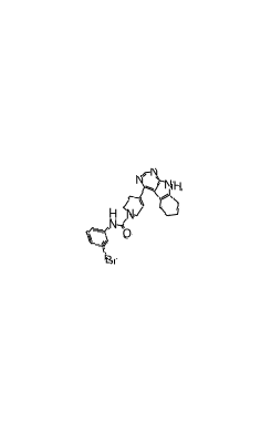 O=C(Nc1cccc(Br)c1)N1CC=C(c2ncnc3[nH]c4c(c23)CCCC4)CC1